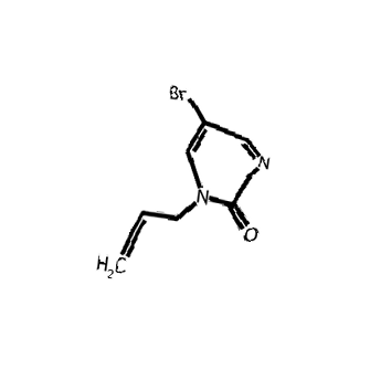 C=CCn1cc(Br)cnc1=O